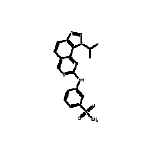 CC(C)n1nnc2ccc3cnc(Nc4cccc(S(N)(=O)=O)c4)nc3c21